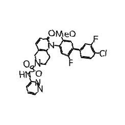 COc1cc(-c2ccc(Cl)c(F)c2)c(F)cc1-n1c2c(ccc1=O)CN(S(=O)(=O)Nc1cccnn1)CC2